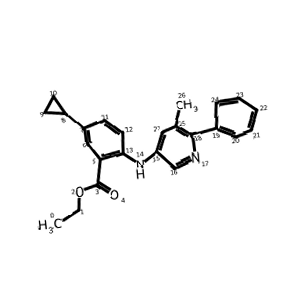 CCOC(=O)c1cc(C2CC2)ccc1Nc1cnc(-c2ccccc2)c(C)c1